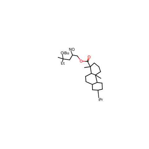 CCC(C)(CC(COC(=O)C1(C)CCCC2(C)C3CCC(C(C)C)CC3CCC12)N=O)OCC(C)C